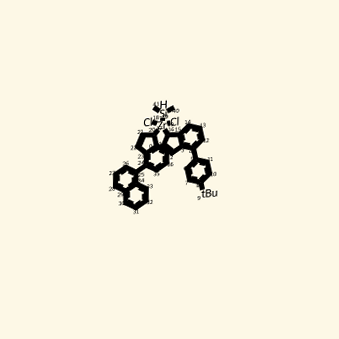 CC1=Cc2c(-c3ccc(C(C)(C)C)cc3)cccc2[CH]1[Zr]([Cl])([Cl])([CH]1C=Cc2c(-c3cccc4ccccc34)cccc21)[SiH](C)C